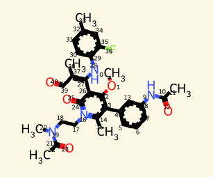 COc1c(-c2cccc(NC(C)=O)c2)c(C)n(CCN(C)C(C)=O)c(=O)c1/C(Nc1ccc(C)cc1F)=C(/C)C=O